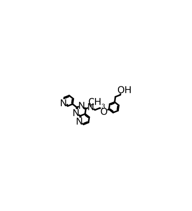 CN(CCOc1cccc(CCO)c1)c1nc(-c2cccnc2)nc2ncccc12